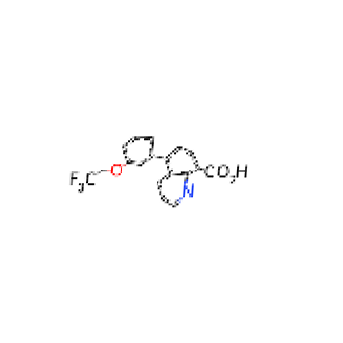 O=C(O)c1ccc(-c2cccc(OCC(F)(F)F)c2)c2cccnc12